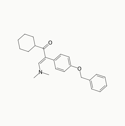 CN(C)C=C(C(=O)C1CCCCC1)c1ccc(OCc2ccccc2)cc1